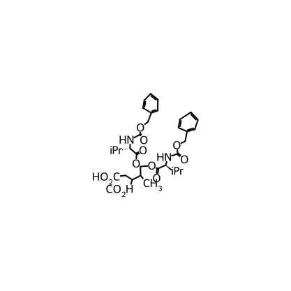 CC(C(OC(=O)[C@@H](NC(=O)OCc1ccccc1)C(C)C)OC(=O)[C@@H](NC(=O)OCc1ccccc1)C(C)C)C(CC(=O)O)C(=O)O